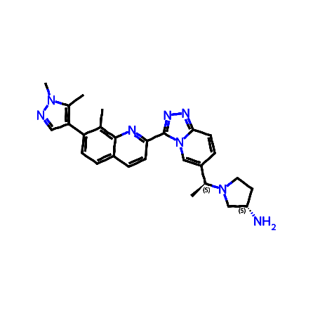 Cc1c(-c2cnn(C)c2C)ccc2ccc(-c3nnc4ccc([C@H](C)N5CC[C@H](N)C5)cn34)nc12